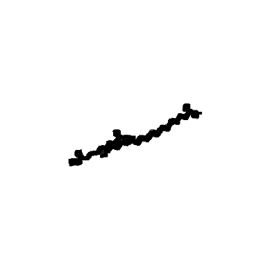 CCCCCCCCCCCCCCCCCC(=O)[O-].O=C(O)CCCCCCCC(=O)O.[Li+]